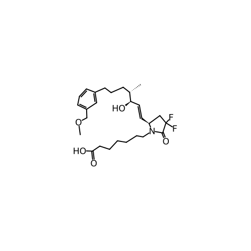 COCc1cccc(CCC[C@H](C)[C@H](O)C=C[C@H]2CC(F)(F)C(=O)N2CCCCCCC(=O)O)c1